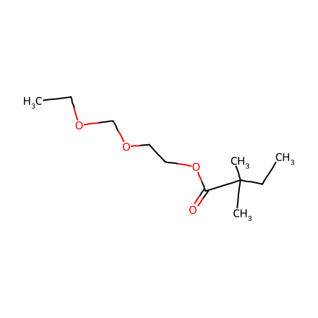 CCOCOCCOC(=O)C(C)(C)CC